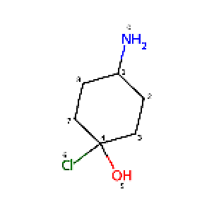 NC1CCC(O)(Cl)CC1